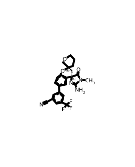 CN1C(=O)[C@@]2(C[C@@]3(CCCOC3)Oc3ccc(-c4cc(C#N)cc(C(F)(F)F)c4)cc32)N=C1N